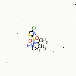 CNN(C(C)C)S(=O)(=O)c1nc(Cl)cs1